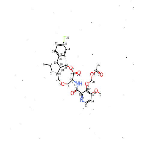 CCC[C@H]1COC[C@H](NC(=O)c2nccc(OC)c2OCOC(C)=O)C(=O)O[C@@H](C)[C@@H]1Cc1ccc(F)cc1